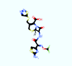 Nc1nc(C(=NOC(F)F)C(=O)NC2C(=O)N3C(C(=O)O)=C(CSc4cnns4)CS[C@@H]23)cs1